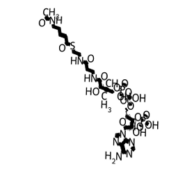 CC(=O)NCCC=CC(=O)SCCNC(=O)CCNC(=O)[C@H](O)C(C)(C)COP(=O)(O)OP(=O)(O)OC[C@H]1O[C@@H](n2cnc3c(N)ncnc32)[C@H](O)[C@@H]1OP(=O)(O)O